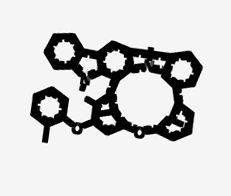 Cc1ccccc1Oc1cc2oc3cccc(c3C)c3cccc4c5cc6c7ccccc7n(C)c6c(c(c1C)c2C)c5n(C)c34